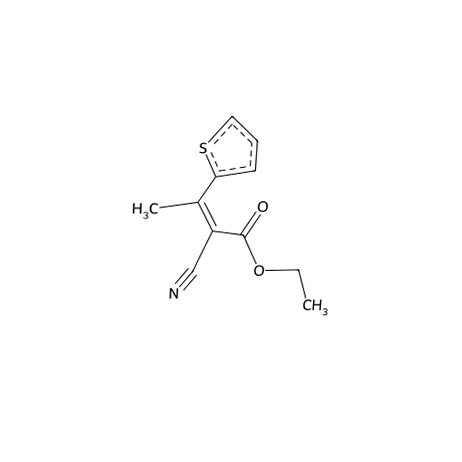 CCOC(=O)C(C#N)=C(C)c1cccs1